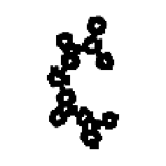 c1ccc(-c2cc(-n3c4ccccc4c4cc(-c5nccc(-c6ccc7c(c6)c6ccccc6n7-c6ccc7c(c6)c6ccncc6n7-c6ccccc6)n5)ccc43)cc(-c3ccccc3)n2)cc1